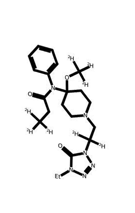 [2H]C([2H])([2H])CC(=O)N(c1ccccc1)C1(OC([2H])([2H])[2H])CCN(CC([2H])([2H])n2nnn(CC)c2=O)CC1